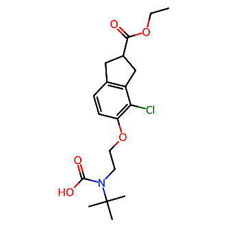 CCOC(=O)C1Cc2ccc(OCCN(C(=O)O)C(C)(C)C)c(Cl)c2C1